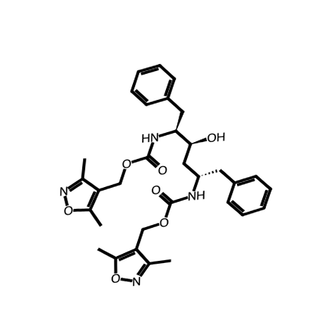 Cc1noc(C)c1COC(=O)N[C@@H](Cc1ccccc1)C[C@H](O)[C@H](Cc1ccccc1)NC(=O)OCc1c(C)noc1C